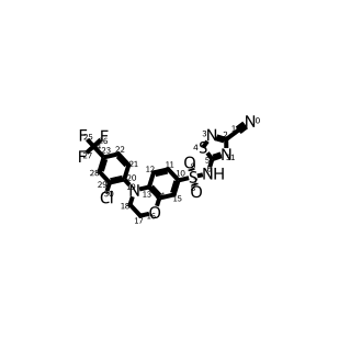 N#Cc1nsc(NS(=O)(=O)c2ccc3c(c2)OCCN3c2ccc(C(F)(F)F)cc2Cl)n1